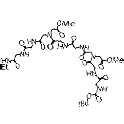 CCNC(=O)CNC(=O)CNC(=O)CN(CC(=O)OC)C(=O)CNC(=O)CNC(=O)CN(CC(=O)OC)C(=O)CNC(=O)CNC(=O)OC(C)(C)C